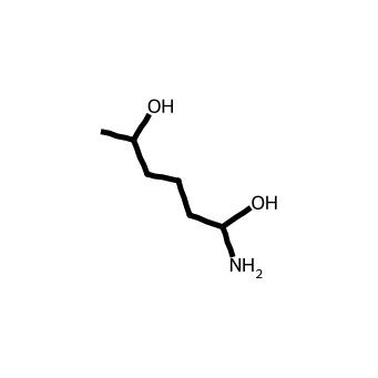 CC(O)CCCC(N)O